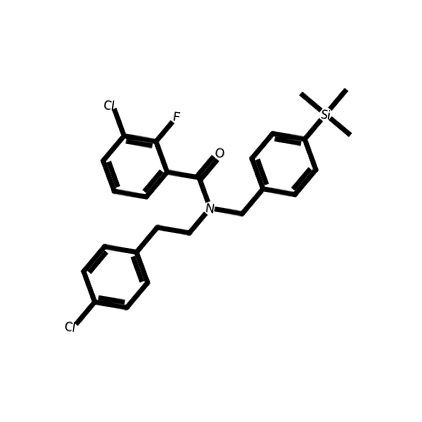 C[Si](C)(C)c1ccc(CN(CCc2ccc(Cl)cc2)C(=O)c2cccc(Cl)c2F)cc1